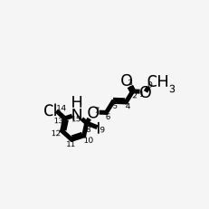 COC(=O)C=CCOC1(I)C=CC=C(Cl)N1